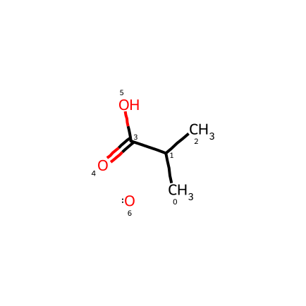 CC(C)C(=O)O.[O]